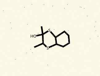 CC1SC2CCCCC2SC1(C)O